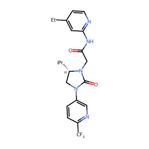 CCc1ccnc(NC(=O)CN2C(=O)N(c3ccc(C(F)(F)F)nc3)C[C@@H]2C(C)C)c1